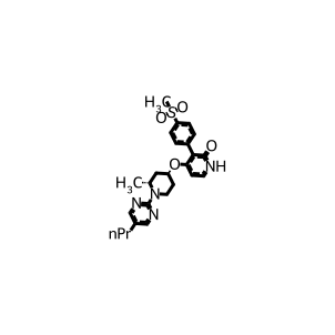 CCCc1cnc(N2CC[C@@H](Oc3cc[nH]c(=O)c3-c3ccc(S(C)(=O)=O)cc3)C[C@H]2C)nc1